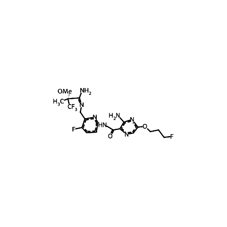 CO[C@](C)(/C(N)=N\Cc1nc(NC(=O)c2ncc(OCCCF)nc2N)ccc1F)C(F)(F)F